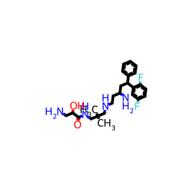 CC(C)(CNCCC(N)CC(c1ccccc1)c1cc(F)ccc1F)CNC(=O)C(O)CN